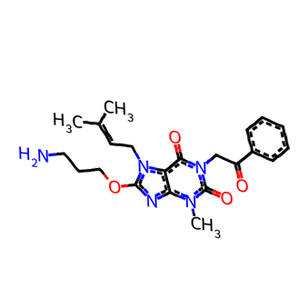 CC(C)=CCn1c(OCCCN)nc2c1c(=O)n(CC(=O)c1ccccc1)c(=O)n2C